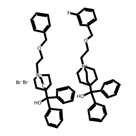 OC(c1ccccc1)(c1ccccc1)C12CC[N+](CCOCc3cccc(F)c3)(CC1)CC2.OC(c1ccccc1)(c1ccccc1)C12CC[N+](CCOCc3ccccc3)(CC1)CC2.[Br-].[Br-]